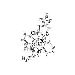 CN1CN(c2ccccc2Oc2ncc(C(F)(F)F)cc2Cl)C(Cl)(c2c(F)cccc2F)N1